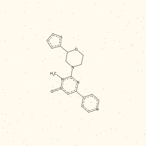 Cn1c(N2CCOC(c3cccs3)C2)nc(-c2ccncc2)cc1=O